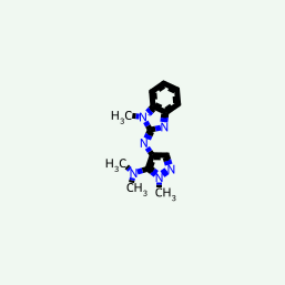 CN(C)c1c(/N=C2\N=c3ccccc3=[N+]2C)cnn1C